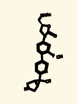 CC(=O)NC[C@H]1CN(c2ccc(-c3ccc(C4(C#N)C5CNCC54)nc3)c(F)c2)C(=O)O1.Cl